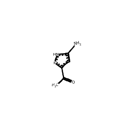 CC(=O)c1cc(N)[nH]n1